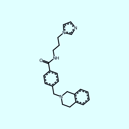 O=C(NCCCn1ccnc1)c1ccc(CN2CCc3ccccc3C2)cc1